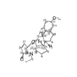 CCN([C@H]1CC[C@H]2[C@@H]3CCc4cc(OC)ccc4[C@H]3CC[C@]12C)N1C(=O)C=CC1=O